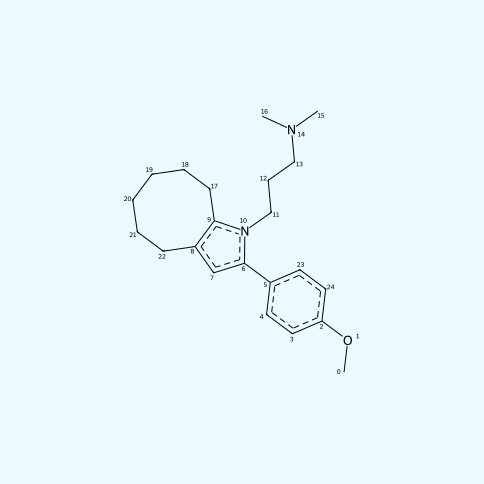 COc1ccc(-c2cc3c(n2CCCN(C)C)CCCCCC3)cc1